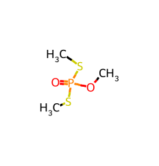 COP(=O)(SC)SC